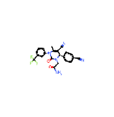 CC1=C(C#N)[C@@H](c2ccc(C#N)cc2)N(CC(N)=O)C(=O)N1c1cccc(C(F)(F)F)c1